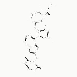 Cc1cc(Cl)cc(-c2ncnn3cc(Cn4c(=O)cc[nH]c4=O)cc23)c1CC1CN(C(=O)OC(C)(C)C)[C@@H](C)CO1